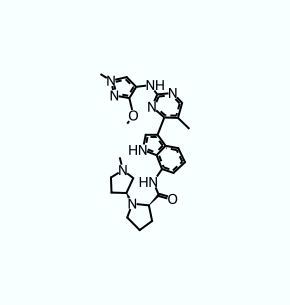 COc1nn(C)cc1Nc1ncc(C)c(-c2c[nH]c3c(NC(=O)[C@H]4CCCN4[C@H]4CCN(C)C4)cccc23)n1